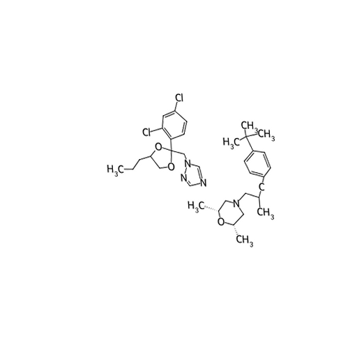 CC(Cc1ccc(C(C)(C)C)cc1)CN1C[C@@H](C)O[C@@H](C)C1.CCCC1COC(Cn2cncn2)(c2ccc(Cl)cc2Cl)O1